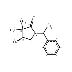 CC(c1ccccc1)N1C[C@@H](N)C(C)(C)C1=O